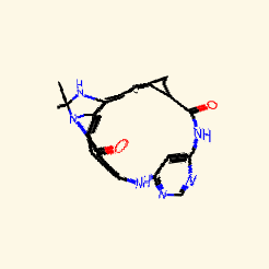 CC1(C)NC2=C3CC4(C3)CC4C(=O)Nc3cc(ncn3)Nc3ccc2n1c3=O